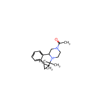 CC(=O)N1CCN(C(C)(C)C)C(c2ccccc2C2CC2)C1